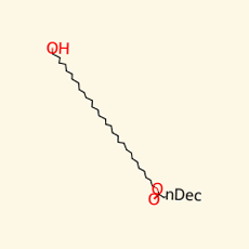 CCCCCCCCCCCC(=O)OCCCCCCCCCCCCCCCCCCCCCCCCCCCCCCCO